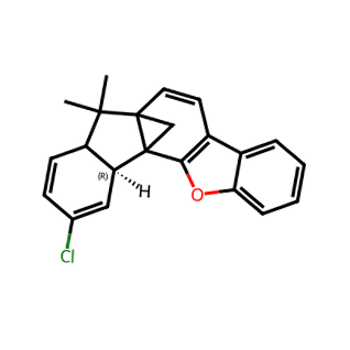 CC1(C)C2C=CC(Cl)=C[C@@H]2C23CC12C=Cc1c3oc2ccccc12